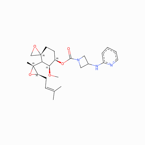 CO[C@H]1C([C@@]2(C)O[C@@H]2CC=C(C)C)[C@]2(CC[C@H]1OC(=O)N1CC(Nc3ccccn3)C1)CO2